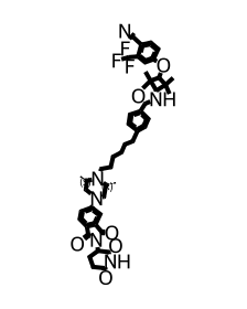 C[C@@H]1CN(c2ccc3c(c2)C(=O)N(C2CCC(=O)NC2=O)C3=O)C[C@H](C)N1CCCCCCc1ccc(C(=O)NC2C(C)(C)C(Oc3ccc(C#N)c(C(F)(F)F)c3)C2(C)C)cc1